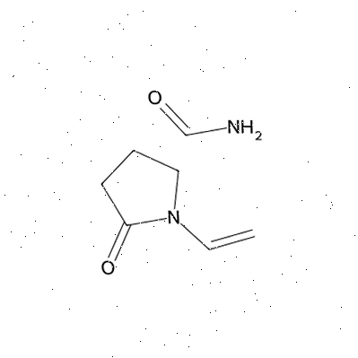 C=CN1CCCC1=O.NC=O